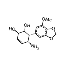 COc1cc([C@H]2[C@@H](O)[C@H](O)C=C[C@@H]2N)cc2c1OCO2